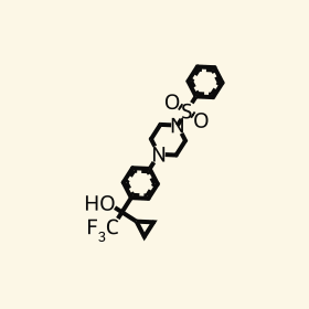 O=S(=O)(c1ccccc1)N1CCN(c2ccc(C(O)(C3CC3)C(F)(F)F)cc2)CC1